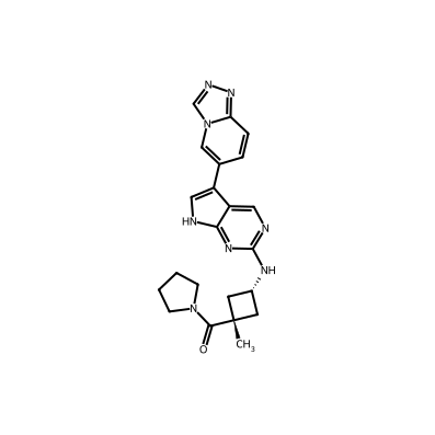 C[C@]1(C(=O)N2CCCC2)C[C@@H](Nc2ncc3c(-c4ccc5nncn5c4)c[nH]c3n2)C1